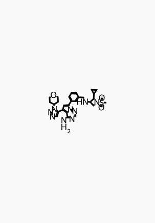 CS(=O)(=O)N1CC(NCc2cccc(-c3cc(-c4cnnn4C4CCOCC4)c4c(N)ncnn34)c2)C1C1CC1